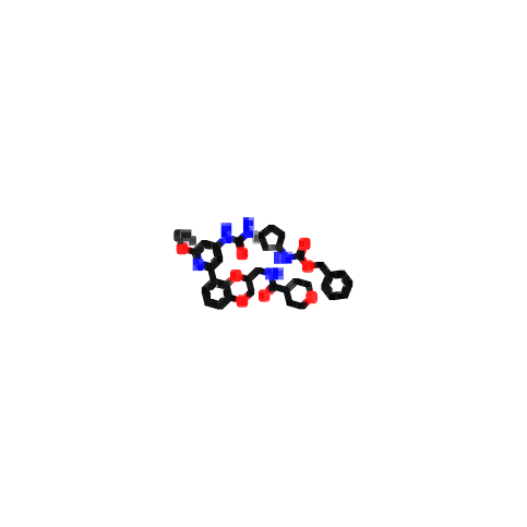 COc1cc(NC(=O)N[C@@H]2CCC(NC(=O)OCc3ccccc3)C2)cc(-c2cccc3c2OC(CNC(=O)C2CCOCC2)CO3)n1